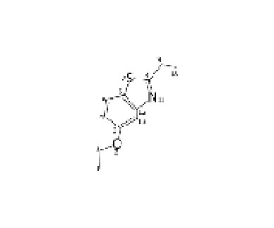 CCOc1ccc2sc(CC)nc2c1